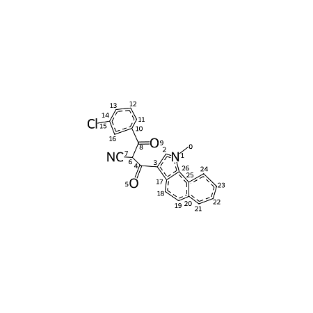 Cn1cc(C(=O)C(C#N)C(=O)c2cccc(Cl)c2)c2ccc3ccccc3c21